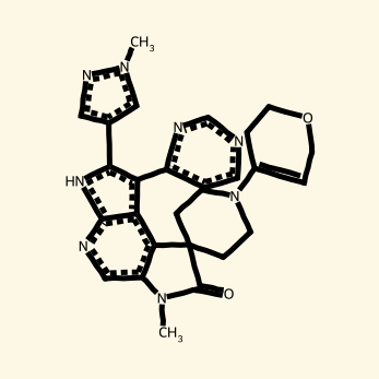 CN1C(=O)C2(CCN(C3=CCOCC3)CC2)c2c1cnc1[nH]c(-c3cnn(C)c3)c(-c3ccncn3)c21